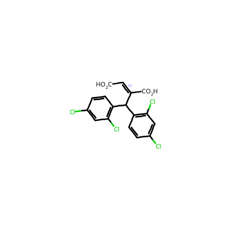 O=C(O)/C=C(/C(=O)O)C(c1ccc(Cl)cc1Cl)c1ccc(Cl)cc1Cl